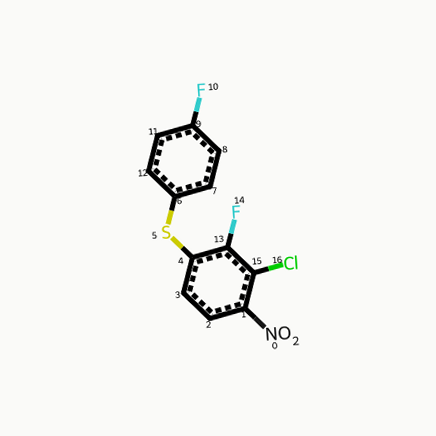 O=[N+]([O-])c1ccc(Sc2ccc(F)cc2)c(F)c1Cl